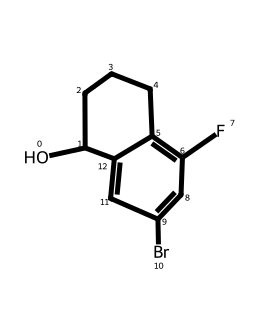 OC1CCCc2c(F)cc(Br)cc21